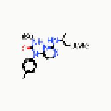 CCC(C)NC(=O)N(c1ccc(C)cc1)c1ccnc(N[C@@H](C)COC)n1